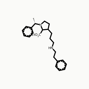 CCOC(=O)C1C(CCCNCCc2ccccc2)CCN1[C@@H](C)c1ccccc1